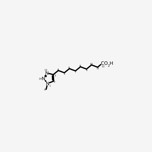 Cn1cc(CCCCCCCCC(=O)O)nn1